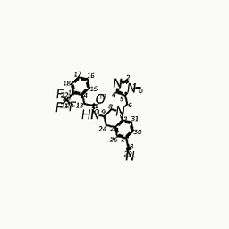 Cn1cncc1CN1CC(NC(=O)Cc2ccccc2C(F)(F)F)Cc2cc(C#N)ccc21